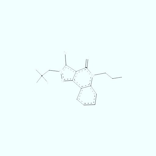 CCCn1c(=O)c2c(N)n(CC(F)(F)F)nc2c2ccccc21